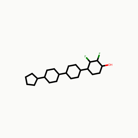 OC1CCC(C2CCC(C3CCC(C4CCCC4)CC3)CC2)C(F)C1F